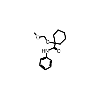 COCOC1(C(=O)Nc2ccccc2)CCCCC1